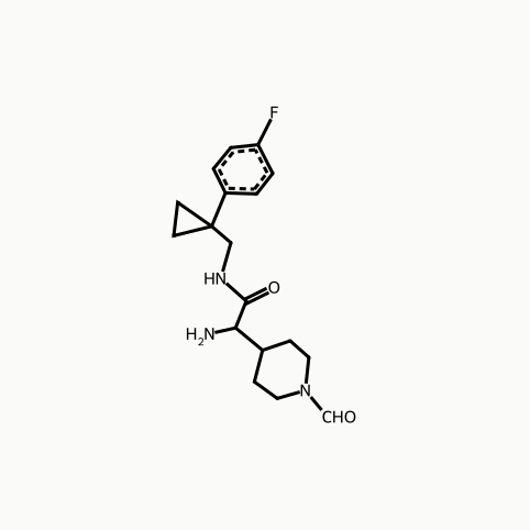 NC(C(=O)NCC1(c2ccc(F)cc2)CC1)C1CCN(C=O)CC1